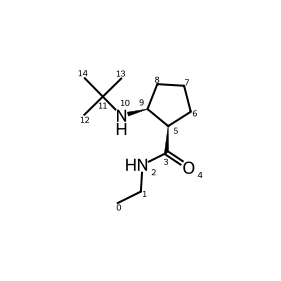 CCNC(=O)[C@@H]1CCC[C@@H]1NC(C)(C)C